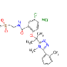 CCS(=O)(=O)CCNC(=O)c1cc(Cl)ccc1OC(C)(C)c1nnc(-c2ccccc2C(F)(F)F)n1C.Cl